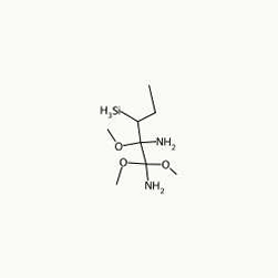 CCC([SiH3])C(N)(OC)C(N)(OC)OC